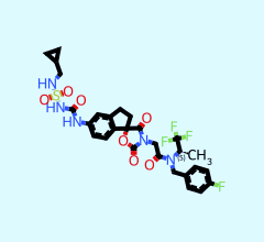 C[C@H](N(Cc1ccc(F)cc1)C(=O)CN1C(=O)OC2(CCc3cc(NC(=O)NS(=O)(=O)NCC4CC4)ccc32)C1=O)C(F)(F)F